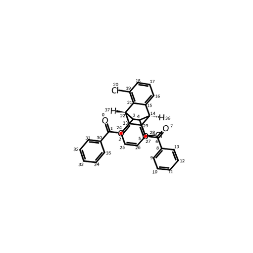 O=C(OC1C(OC(=O)c2ccccc2)[C@H]2c3cccc(Cl)c3[C@H]1c1cccc(Cl)c12)c1ccccc1